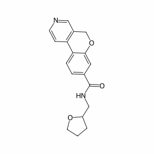 O=C(NCC1CCCO1)c1ccc2c(c1)OCc1cnccc1-2